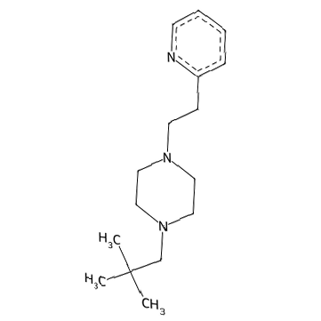 CC(C)(C)CN1CCN(CCc2ccccn2)CC1